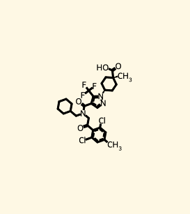 Cc1cc(Cl)c(C(=O)CN(CC2CCCCC2)C(=O)c2cnn([C@H]3CC[C@](C)(C(=O)O)CC3)c2C(F)(F)F)c(Cl)c1